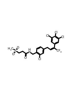 CS(=O)(=O)CCC(=O)NCc1ccc(CC=C(c2cc(Cl)c(Cl)c(Cl)c2)C(F)(F)F)cc1Cl